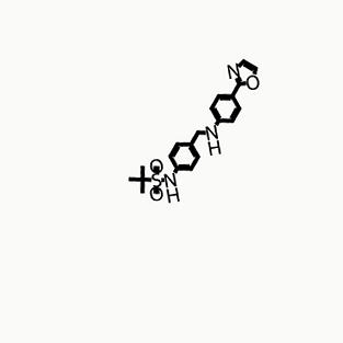 CC(C)(C)S(=O)(=O)Nc1ccc(CNc2ccc(-c3ncco3)cc2)cc1